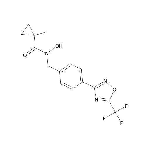 CC1(C(=O)N(O)Cc2ccc(-c3noc(C(F)(F)F)n3)cc2)CC1